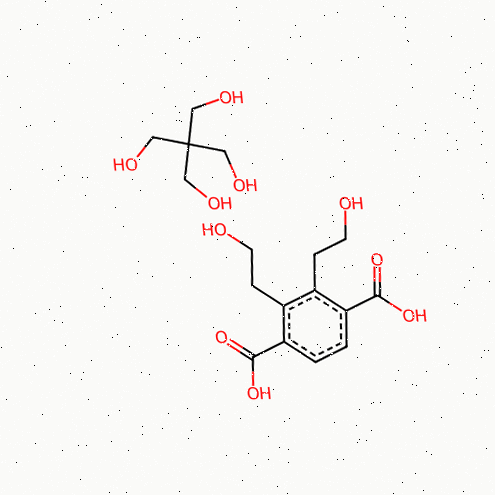 O=C(O)c1ccc(C(=O)O)c(CCO)c1CCO.OCC(CO)(CO)CO